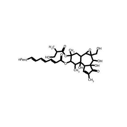 CCCCC/C=C/C=C/C=C/C(=O)OC1C(C)C2(O)C(CC1(C)OC(=O)C(C)CO)C1OC1(CO)C(O)C1(O)C(=O)C(C)=CC12